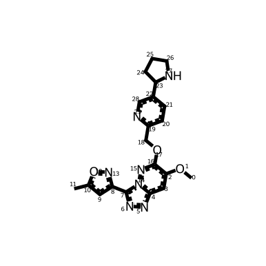 COc1cc2nnc(-c3cc(C)on3)n2nc1OCc1ccc(C2CCCN2)cn1